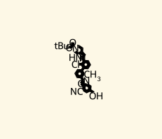 Cc1c(-c2nc3cc(CO)cc(C#N)c3o2)cccc1-c1cccc(N2C=C3CCN(C(=O)OC(C)(C)C)CC3N2)c1Cl